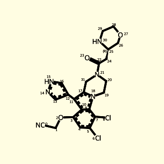 N#CCOc1cc(Cl)c(Cl)c2c1c(-c1cn[nH]c1)c1n2CCN(C(=O)C[C@@H]2COCCN2)C1